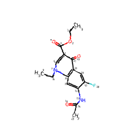 CCOC(=O)c1cn(CC)c2cc(NC(C)=O)c(F)cc2c1=O